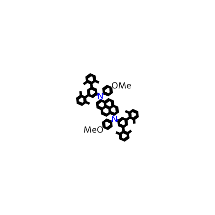 COc1ccc(N(c2cc(-c3c(C)cccc3C)cc(-c3c(C)cccc3C)c2)c2ccc3ccc4c(N(c5ccc(OC)cc5)c5cc(-c6c(C)cccc6C)cc(-c6c(C)cccc6C)c5)ccc5ccc2c3c54)cc1